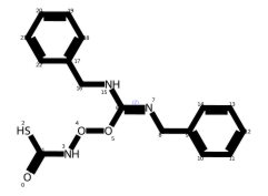 O=C(S)NOO/C(=N\Cc1ccccc1)NCc1ccccc1